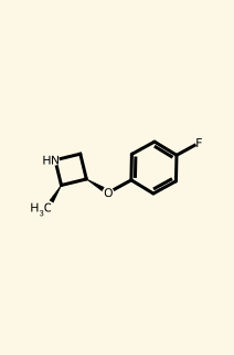 C[C@H]1NC[C@H]1Oc1ccc(F)cc1